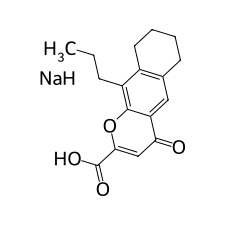 CCCc1c2c(cc3c(=O)cc(C(=O)O)oc13)CCCC2.[NaH]